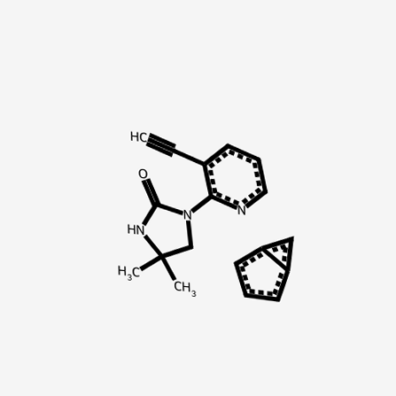 C#Cc1cccnc1N1CC(C)(C)NC1=O.c1cc2cc-2c1